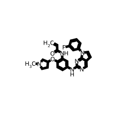 C=CC(=O)Nc1cc(Nc2ncc3ccn(-c4cccc(F)c4)c3n2)ccc1OC1CCN(C)C1